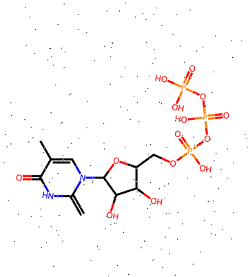 C=C1NC(=O)C(C)=CN1C1OC(COP(=O)(O)OP(=O)(O)OP(=O)(O)O)C(O)C1O